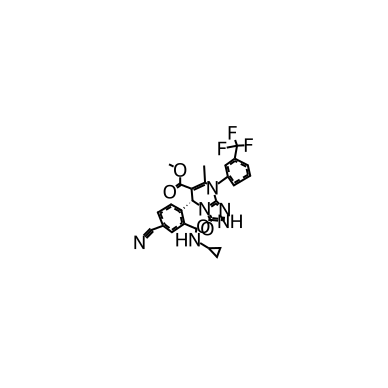 COC(=O)C1=C(C)N(c2cccc(C(F)(F)F)c2)c2n[nH]c(=O)n2[C@@H]1c1ccc(C#N)cc1C(=O)NC1CC1